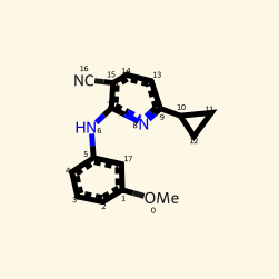 COc1cccc(Nc2nc(C3CC3)ccc2C#N)c1